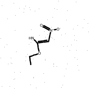 CCO/C([NH])=C/[N+](=O)[O-]